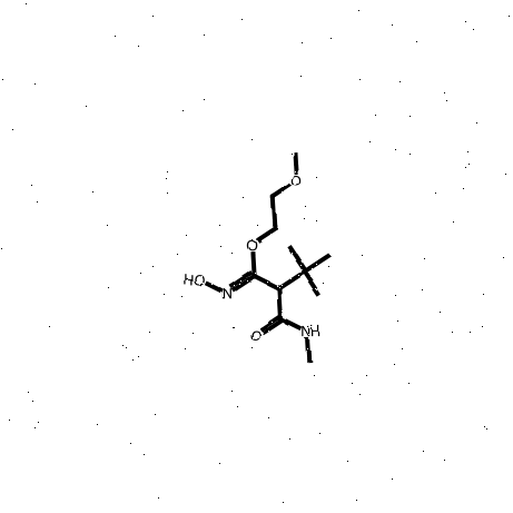 CNC(=O)C(/C(=N/O)OCCOC)C(C)(C)C